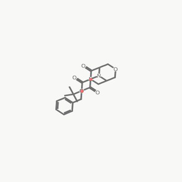 CC(C)(C)OC(=O)N1CC2COCC(C1=O)N2CC(=O)OCc1ccccc1